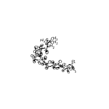 CC[Si](=O)C[Si](C)(C)[Si](=O)[Si](=O)[Si](=O)[Si](=O)[Si](=O)[Si](=O)[Si](=O)[Si](=O)[Si](=O)[Si](=O)[Si](=O)[Si](=O)[Si](=O)[Si](=O)[Si](=O)[SiH2]O[SiH](C)[Si](=O)[Si](=O)[Si](=O)[SiH2]O[Si](C)(C)C